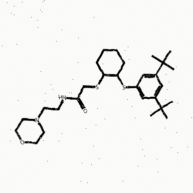 CC(C)(C)c1cc(SC2CCCCC2SCC(=O)NCCN2CCOCC2)cc(C(C)(C)C)c1